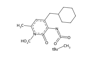 CC(C)(C)C.Cc1cc(CC2CCCCC2)c(N=S(=O)=O)c(=O)n1C(=O)O